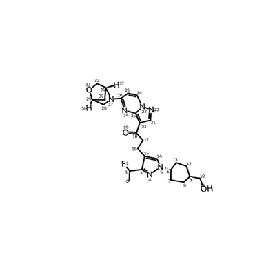 CC(F)c1nn([C@H]2CC[C@H](CO)CC2)cc1CCC(=O)c1cnn2ccc(N3C[C@H]4C[C@@H]3CO4)nc12